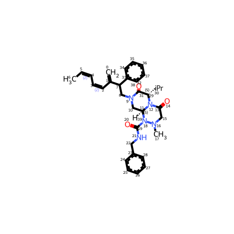 C=C(/C=C\C=C/C)C(CN1C[C@H]2N(C(=O)CN(C)N2C(=O)NCc2ccccc2)[C@@H](C(C)C)C1=O)c1ccccc1